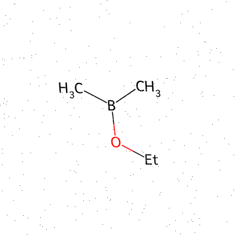 CCOB(C)C